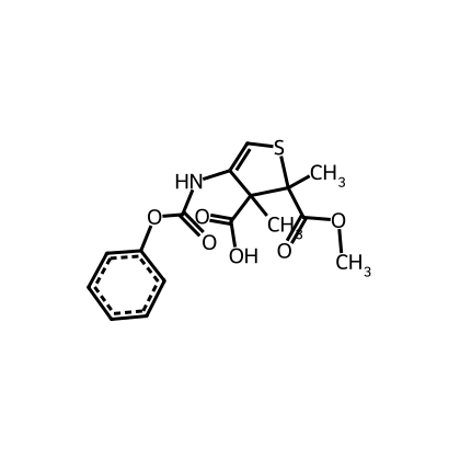 COC(=O)C1(C)SC=C(NC(=O)Oc2ccccc2)C1(C)C(=O)O